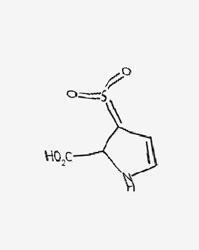 O=C(O)C1NC=CC1=S(=O)=O